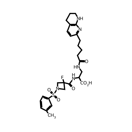 Cc1cccc(S(=O)(=O)N2CC(F)(C(=O)NC(CNC(=O)CCCCc3ccc4c(n3)NCCC4)C(=O)O)C2)c1